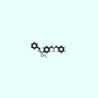 CN(/N=C/c1ccccc1)c1ccc(CNCc2ccccc2)cc1